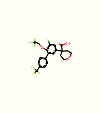 O=C(O)C1(c2cc(Cl)c(OCC(F)(F)F)c(-c3ccc(C(F)(F)F)cc3)c2)CCOCC1